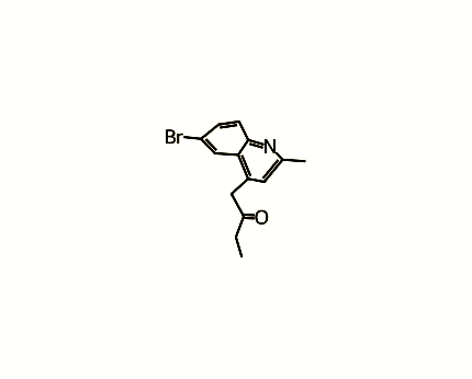 CCC(=O)Cc1cc(C)nc2ccc(Br)cc12